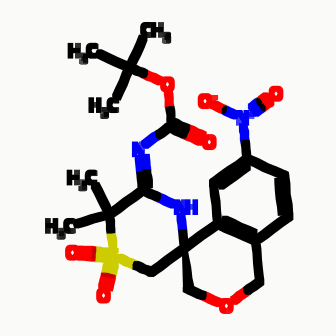 CC(C)(C)OC(=O)/N=C1\N[C@@]2(COCc3ccc([N+](=O)[O-])cc32)CS(=O)(=O)C1(C)C